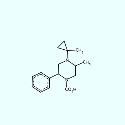 CC1CN(C(=O)O)C(c2ccccc2)CN1C1(C)CC1